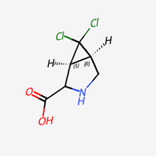 O=C(O)C1NC[C@H]2[C@@H]1C2(Cl)Cl